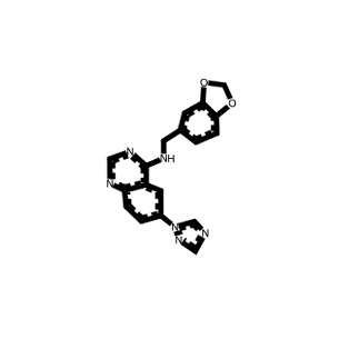 c1nc(NCc2ccc3c(c2)OCO3)c2cc(-n3cncn3)ccc2n1